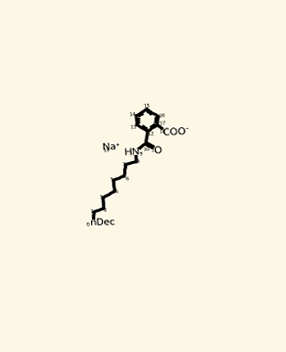 CCCCCCCCCCCCCCCCCCNC(=O)c1ccccc1C(=O)[O-].[Na+]